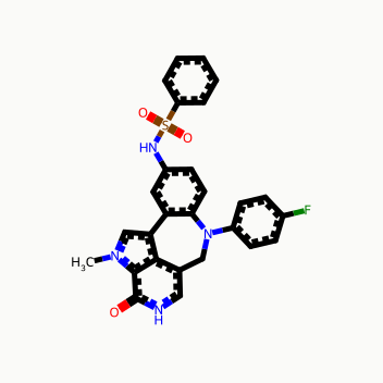 Cn1cc2c3c(c[nH]c(=O)c31)CN(c1ccc(F)cc1)c1ccc(NS(=O)(=O)c3ccccc3)cc1-2